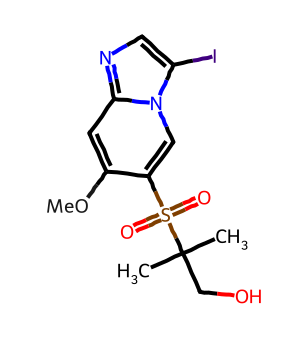 COc1cc2ncc(I)n2cc1S(=O)(=O)C(C)(C)CO